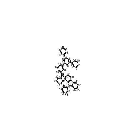 c1ccc(-c2cc(-c3ccccc3)nc(-c3cccc(-n4c5ccccc5c5c4ccc4c6ccccc6n(-c6ccccc6)c45)c3)c2)cc1